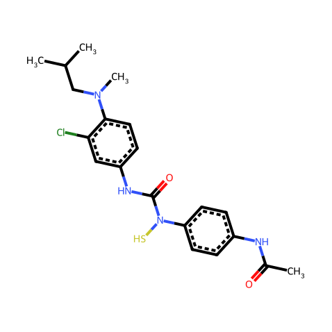 CC(=O)Nc1ccc(N(S)C(=O)Nc2ccc(N(C)CC(C)C)c(Cl)c2)cc1